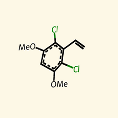 C=Cc1c(Cl)c(OC)cc(OC)c1Cl